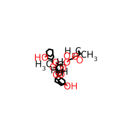 C=C(C)C(=O)OCC(=O)OC[C@H]1O[C@@H]2OC3(O[C@@H]2[C@H]2OC(C)(C4CC5CCCC(O)(C5)C4)O[C@H]21)C1CC2CC3CC(O)(C2)C1